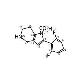 O=C(O)n1c(-c2c(F)cccc2F)cc2c1CCNC2